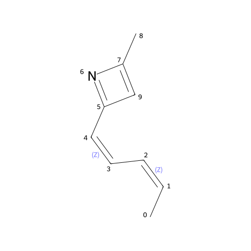 C/C=C\C=C/C1=NC(C)=C1